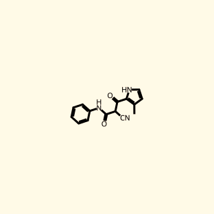 Cc1cc[nH]c1C(=O)C(C#N)C(=O)Nc1ccccc1